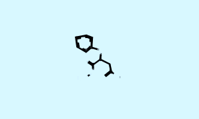 COC(=O)C(CC(=O)O)Oc1ccccc1